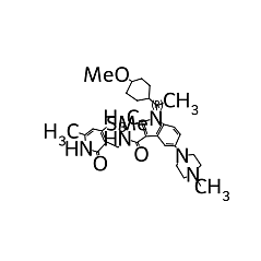 COC1CCC([C@@H](C)n2c(C)c(C(=O)NCc3c(SC)cc(C)[nH]c3=O)c3cc(N4CCN(C)CC4)ccc32)CC1